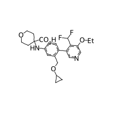 CCOc1cncc(-c2ccc(NC3(C(=O)O)CCOCC3)cc2COC2CC2)c1C(F)F